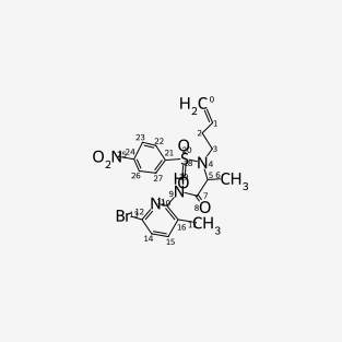 C=CCCN(C(C)C(=O)Nc1nc(Br)ccc1C)S(=O)(=O)c1ccc([N+](=O)[O-])cc1